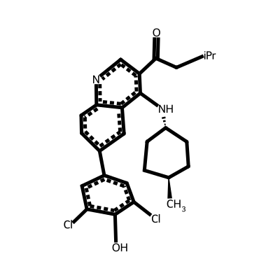 CC(C)CC(=O)c1cnc2ccc(-c3cc(Cl)c(O)c(Cl)c3)cc2c1N[C@H]1CC[C@H](C)CC1